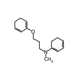 CN(CCCOC1=CCCC=C1)C1=CC=CCC1